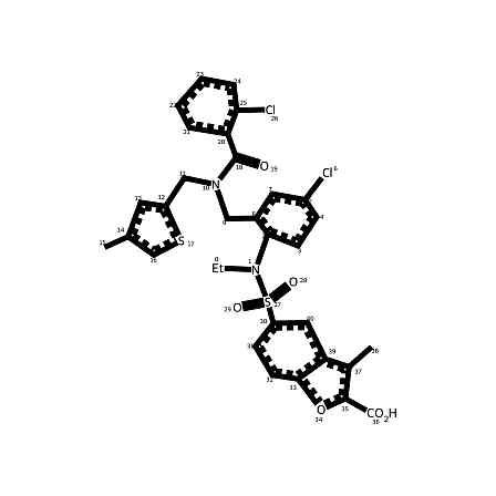 CCN(c1ccc(Cl)cc1CN(Cc1cc(C)cs1)C(=O)c1ccccc1Cl)S(=O)(=O)c1ccc2oc(C(=O)O)c(C)c2c1